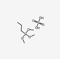 CCC[Si](OC)(OC)OC.O=S(=O)(O)O